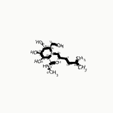 CNC(=O)[C@@H]1[C@@H](O)[C@@H](O)[C@H](O)[C@@H](CO)N1CCCCC(C)C